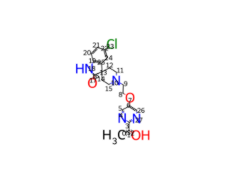 C[C@H](O)c1ncc(OCCN2CCC3(CC2)C(=O)Nc2ccc(Cl)cc23)cn1